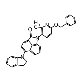 Cc1nc(OCc2ccccc2)ccc1N1C(=O)c2ccc(N3CCc4ccccc43)c3cccc1c23